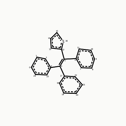 c1ccc(C(=C(c2ccccc2)c2cccs2)c2ccccc2)cc1